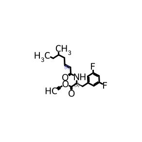 C#COC(=O)[C@H](Cc1cc(F)cc(F)c1)NC(=O)/C=C/CC(C)CC